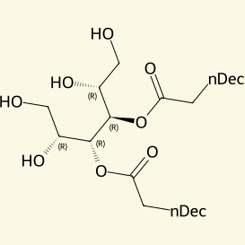 CCCCCCCCCCCC(=O)O[C@@H]([C@H](OC(=O)CCCCCCCCCCC)[C@H](O)CO)[C@H](O)CO